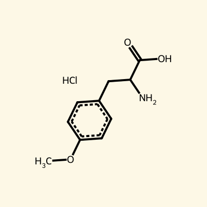 COc1ccc(CC(N)C(=O)O)cc1.Cl